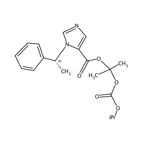 CC(C)OC(=O)OC(C)(C)OC(=O)c1cncn1[C@H](C)c1ccccc1